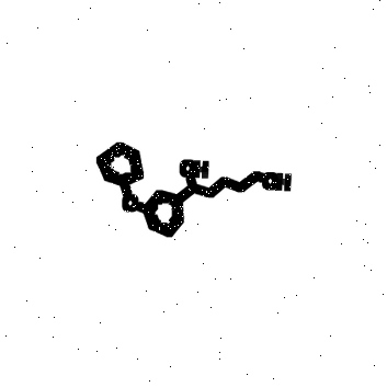 OCCCCC(O)c1cccc(Oc2ccccc2)c1